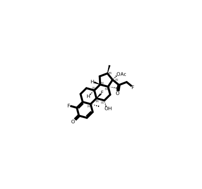 CC(=O)O[C@@]1(C(=O)CF)[C@H](C)C[C@H]2[C@@H]3CCC4=C(F)C(=O)C=C[C@]4(C)[C@@]3(F)[C@@H](O)C[C@@]21C